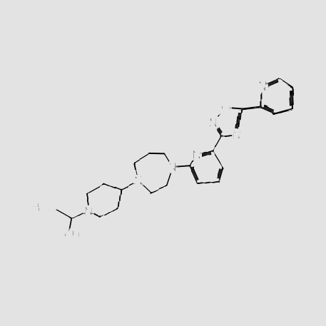 CC(C)N1CCC(N2CCCN(c3cccc(-c4noc(-c5ccccn5)n4)n3)CC2)CC1